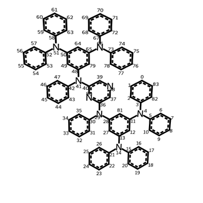 c1ccc(N(c2ccccc2)c2cc(N(c3ccccc3)c3ccccc3)cc(N(c3ccccc3)c3cncc(N(c4ccccc4)c4cc(N(c5ccccc5)c5ccccc5)cc(N(c5ccccc5)c5ccccc5)c4)n3)c2)cc1